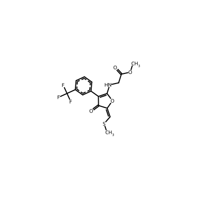 COC(=O)CNC1=C(c2cccc(C(F)(F)F)c2)C(=O)/C(=C\SC)O1